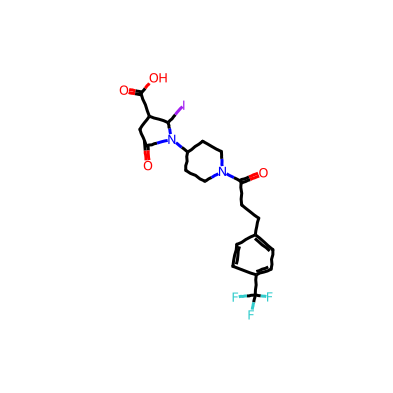 O=C(O)C1CC(=O)N(C2CCN(C(=O)CCc3ccc(C(F)(F)F)cc3)CC2)C1I